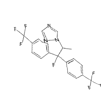 CC(n1cncn1)C(F)(c1ccc(C(F)(F)F)cc1)c1ccc(C(F)(F)F)cc1